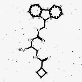 O=C(NC(CNC(=O)C1CCC1)C(=O)O)OCC1c2ccccc2-c2ccccc21